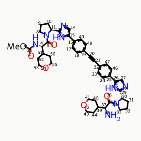 COC(=O)N[C@H](C(=O)N1CCC[C@H]1c1ncc(-c2ccc(C#Cc3ccc(-c4cnc([C@@H]5CCCN5C(=O)[C@@H](N)C5CCOCC5)[nH]4)cc3)cc2)[nH]1)C1CCOCC1